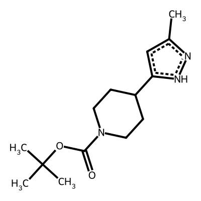 Cc1cc(C2CCN(C(=O)OC(C)(C)C)CC2)[nH]n1